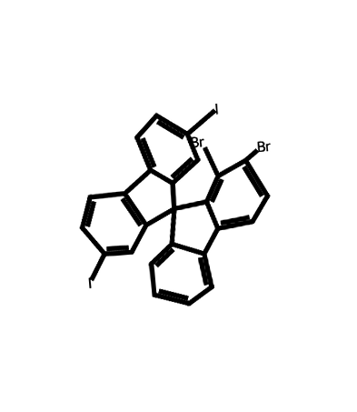 Brc1ccc2c(c1Br)C1(c3cc(I)ccc3-c3ccc(I)cc31)c1ccccc1-2